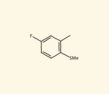 CSc1ccc(F)cc1C